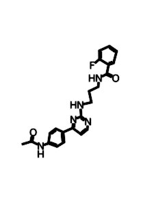 CC(=O)Nc1ccc(-c2ccnc(NCCCNC(=O)c3ccccc3F)n2)cc1